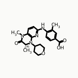 Cc1cc(C(=O)O)ccc1Nc1ccc2c(n1)N(C1CCOCC1)[C@H](C)C(=O)N2C